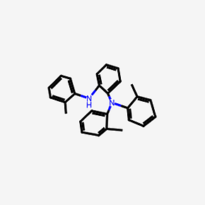 Cc1ccccc1Nc1ccccc1N(c1ccccc1C)c1ccccc1C